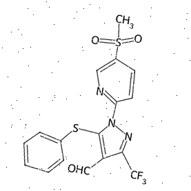 CS(=O)(=O)c1ccc(-n2nc(C(F)(F)F)c(C=O)c2Sc2ccccc2)nc1